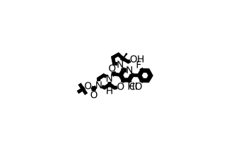 CC(C)(C)OC(=O)N1CCN2C(=O)c3c(N4CCC[C@]4(C)CO)nc(-c4c(O)cccc4F)c(Cl)c3OC[C@H]2C1